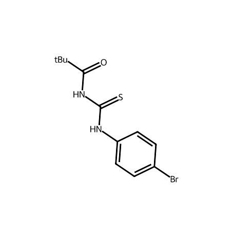 CC(C)(C)C(=O)NC(=S)Nc1ccc(Br)cc1